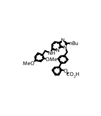 CCCCc1nc2ccc(NCc3ccc(OC)cc3OC)nc2n1Cc1ccc(-c2ccccc2OC(=O)O)cc1